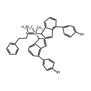 CC(C)c1ccc(-c2cccc3c2C=C[CH]3[Hf]([CH3])([CH3])([CH]2C=Cc3c(-c4ccc(C(C)C)cc4)cccc32)=[Si](C)CCc2ccccc2)cc1